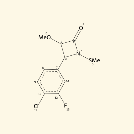 COC1C(=O)N(SC)C1c1ccc(Cl)c(F)c1